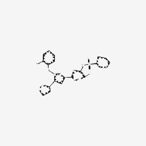 O=S(=O)(Nc1nc(-c2cc(-c3ccon3)n(Cc3ccccc3F)n2)ncc1F)c1ccccc1